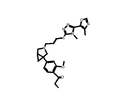 CCC(=O)c1ccc(C23CC2CN(CCCSc2nnc(-c4ocnc4C)n2C)C3)cc1OC